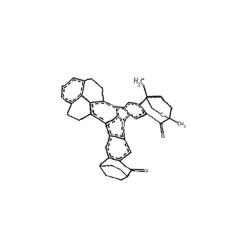 CC12CCC(C)(CC1)c1cc3c4c5c6c(c7c8cc9c(cc8n(c3cc1C2=O)c74)C(=O)C1CCC9CC1)CCc1cccc(c1-6)CC5